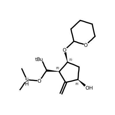 C=C1[C@H](O)C[C@H](OC2CCCCO2)[C@@H]1C(O[SiH](C)C)C(C)(C)C